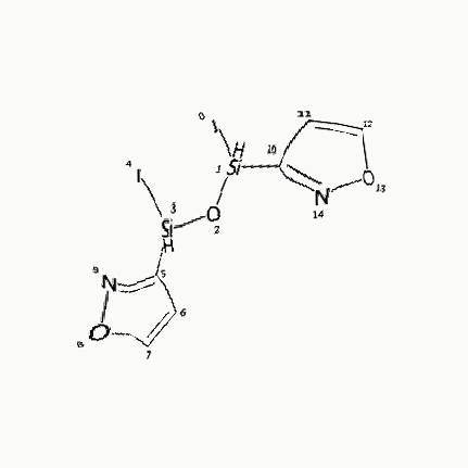 I[SiH](O[SiH](I)c1ccon1)c1ccon1